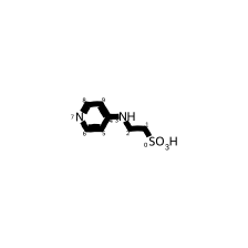 O=S(=O)(O)CCNc1ccncc1